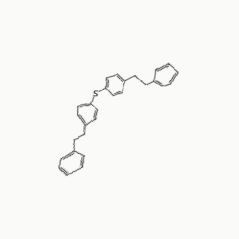 c1ccc(CCc2ccc(Sc3ccc(CCc4ccccc4)cc3)cc2)cc1